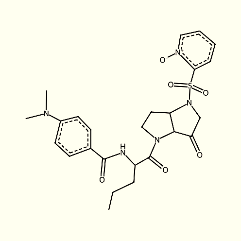 CCCC(NC(=O)c1ccc(N(C)C)cc1)C(=O)N1CCC2C1C(=O)CN2S(=O)(=O)c1cccc[n+]1[O-]